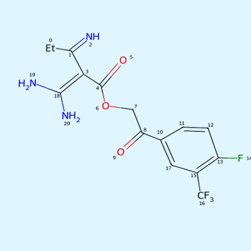 CCC(=N)C(C(=O)OCC(=O)c1ccc(F)c(C(F)(F)F)c1)=C(N)N